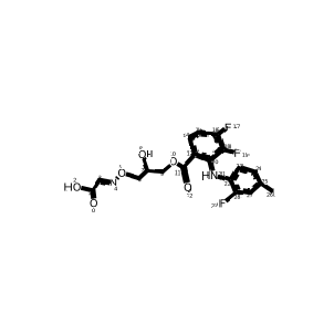 O=C(O)/C=N/OCC(O)COC(=O)c1ccc(F)c(F)c1Nc1ccc(I)cc1F